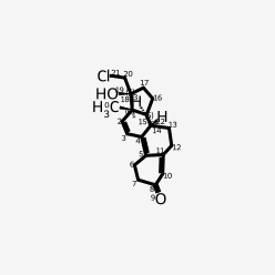 C[C@]12C=CC3=C4CCC(=O)C=C4CC[C@H]3[C@@H]1CC[C@@]2(O)CCl